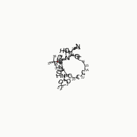 CC(C)(C)OC(=O)N[C@H]1CCCCCCCCCC[C@@H](C(O)C#N)NC(=O)[C@@H]2C3C(CN2C1=O)C3(C)C